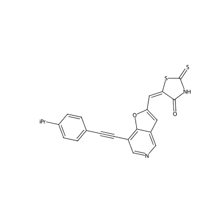 CC(C)c1ccc(C#Cc2cncc3cc(C=C4SC(=S)NC4=O)oc23)cc1